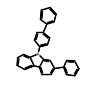 c1ccc(-c2ccc(-n3c4ccccc4c4ccc(-c5ccccc5)cc43)cc2)cc1